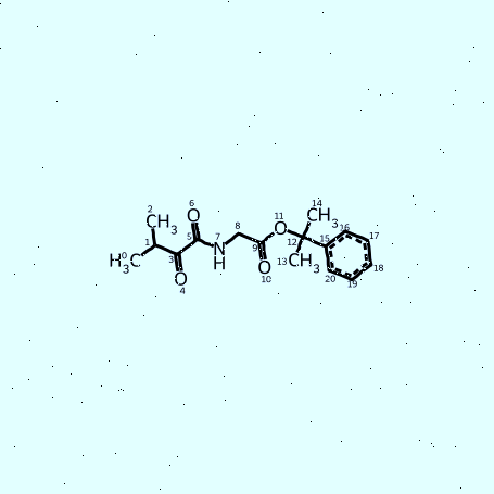 CC(C)C(=O)C(=O)NCC(=O)OC(C)(C)c1ccccc1